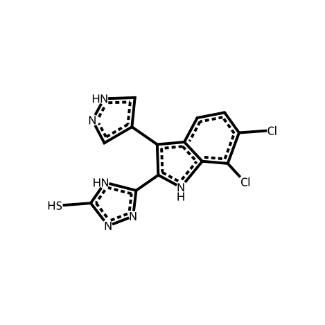 Sc1nnc(-c2[nH]c3c(Cl)c(Cl)ccc3c2-c2cn[nH]c2)[nH]1